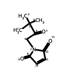 CC(C)(C)C(=O)CN1C(=O)C=CC1=O